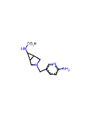 Nc1ccc(CN2CC3C(C2)C3NC(=O)O)cn1